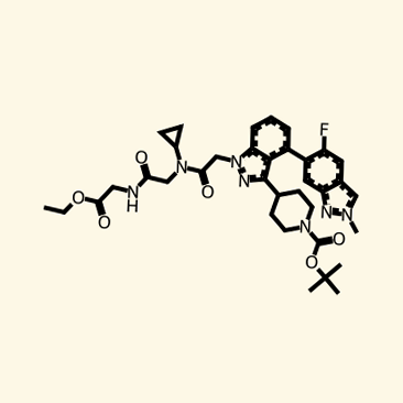 CCOC(=O)CNC(=O)CN(C(=O)Cn1nc(C2CCN(C(=O)OC(C)(C)C)CC2)c2c(-c3cc4nn(C)cc4cc3F)cccc21)C1CC1